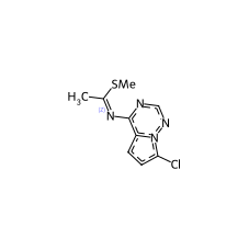 CS/C(C)=N\c1ncnn2c(Cl)ccc12